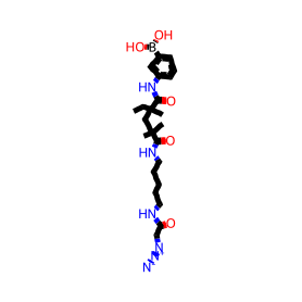 CCC(C)(CC(C)(C)C(=O)NCCCCCNC(=O)CN=[N+]=[N-])C(=O)Nc1cccc(B(O)O)c1